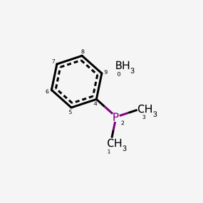 B.CP(C)c1ccccc1